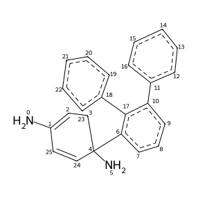 NC1=CCC(N)(c2cccc(-c3ccccc3)c2-c2ccccc2)C=C1